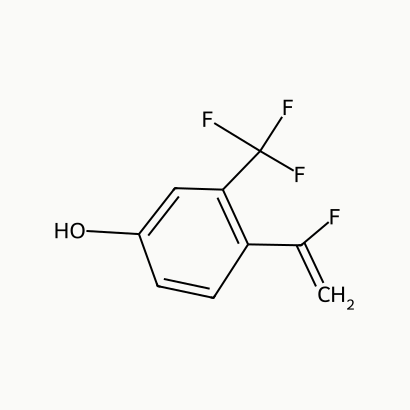 C=C(F)c1ccc(O)cc1C(F)(F)F